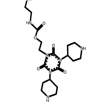 O=C(NCCO)OCCn1c(=O)n(C2CCNCC2)c(=O)n(C2CCNCC2)c1=O